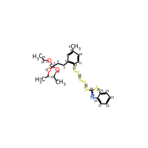 CCO[Si](CCc1cc(C)ccc1SSSSSc1nc2ccccc2s1)(OCC)OCC